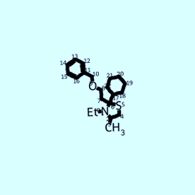 CCN1C(C)CSC1(CCOCc1ccccc1)C1CCCCC1